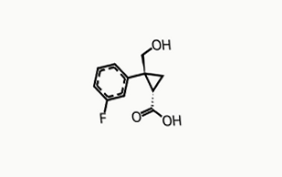 O=C(O)[C@H]1C[C@@]1(CO)c1cccc(F)c1